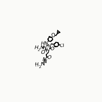 NN=NC(=O)CCN1C(=O)N(N)C(Nc2ccc(OCC3CC3)cc2)N(Cc2ccc(Cl)cc2)C1=O